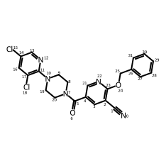 N#Cc1cc(C(=O)N2CCN(c3ncc(Cl)cc3Cl)CC2)cnc1OCc1ccccc1